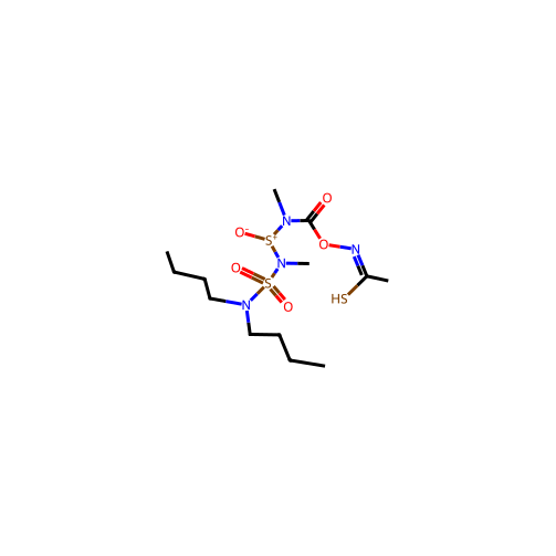 CCCCN(CCCC)S(=O)(=O)N(C)[S+]([O-])N(C)C(=O)ON=C(C)S